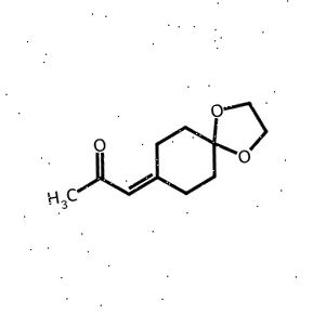 CC(=O)C=C1CCC2(CC1)OCCO2